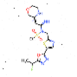 CCS(=O)(=O)N(Cc1ncc(-c2nnc(C(C)F)o2)s1)C(=N)/C=C1/COCCN1